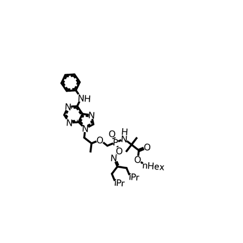 CCCCCCOC(=O)C(C)(C)NP(=O)(COC(C)Cn1cnc2c(Nc3ccccc3)ncnc21)ON=C(CC(C)C)CC(C)C